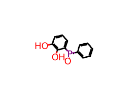 O=[P](c1ccccc1)c1cccc(O)c1O